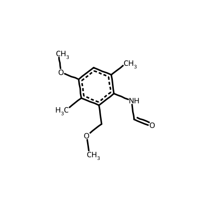 COCc1c(C)c(OC)cc(C)c1NC=O